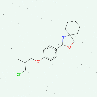 CC(CCl)COc1ccc(C2=NC3(CCCCC3)CO2)cc1